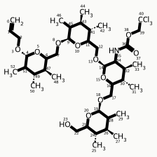 C=CCO[C@@H]1OC(CO[C@@H]2OC(CO[C@@H]3OC(CO[C@@H]4OC(CO)[C@@H](C)[C@H](C)C4C)[C@@H](C)[C@H](C)C3NC(=O)OCC(Cl)(Cl)Cl)[C@@H](C)[C@H](C)C2C)[C@@H](C)[C@H](C)C1C